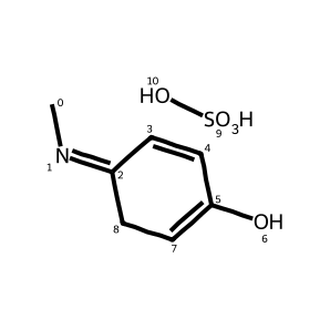 CN=C1C=CC(O)=CC1.O=S(=O)(O)O